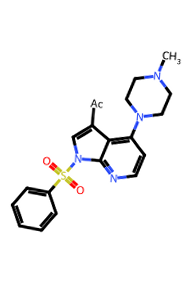 CC(=O)c1cn(S(=O)(=O)c2ccccc2)c2nccc(N3CCN(C)CC3)c12